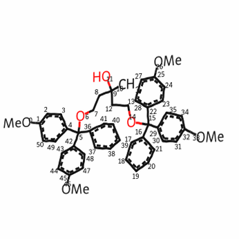 COc1ccc(C(OCCC(C)(O)CCOC(c2ccccc2)(c2ccc(OC)cc2)c2ccc(OC)cc2)(c2ccccc2)c2ccc(OC)cc2)cc1